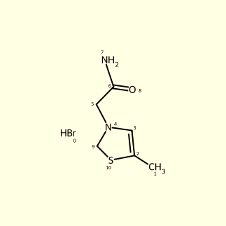 Br.CC1=CN(CC(N)=O)CS1